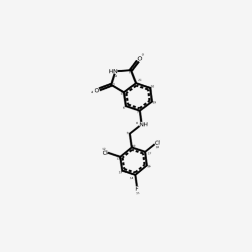 O=C1NC(=O)c2cc(NCc3c(Cl)cc(F)cc3Cl)ccc21